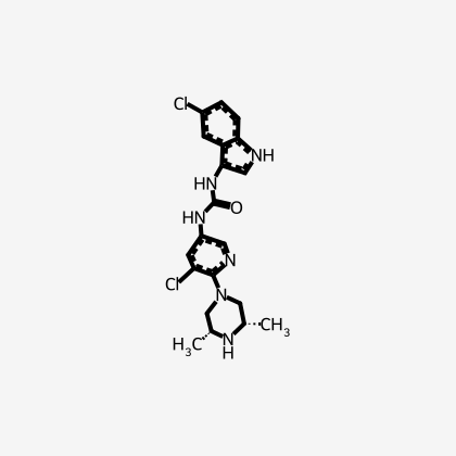 C[C@@H]1CN(c2ncc(NC(=O)Nc3c[nH]c4ccc(Cl)cc34)cc2Cl)C[C@H](C)N1